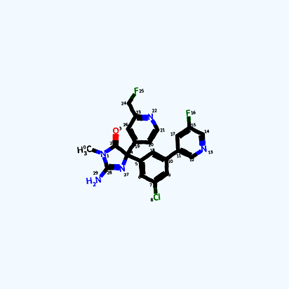 CN1C(=O)C(c2cc(Cl)cc(-c3cncc(F)c3)c2)(c2ccnc(CF)c2)N=C1N